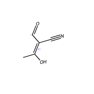 C/C(O)=C(\[C]=O)C#N